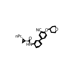 CCC[C@H]1C[C@@H]1C(=O)Nc1cccc(-c2ccc(OC3CCOCC3)c(C#N)c2)c1